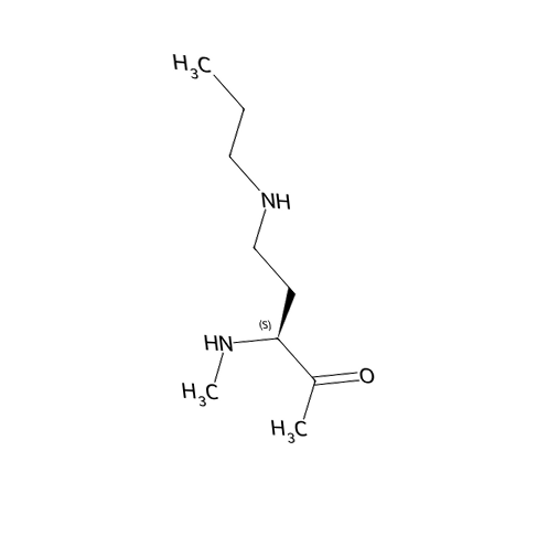 CCCNCC[C@H](NC)C(C)=O